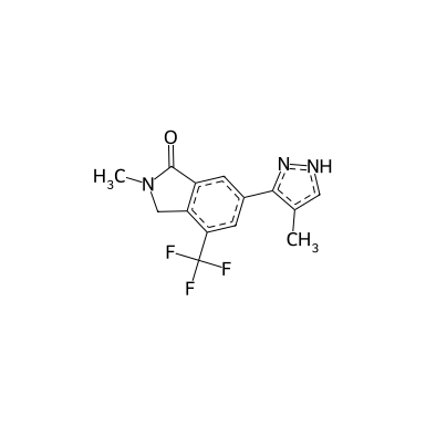 Cc1c[nH]nc1-c1cc2c(c(C(F)(F)F)c1)CN(C)C2=O